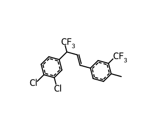 Cc1ccc(/C=C/C(c2ccc(Cl)c(Cl)c2)C(F)(F)F)cc1C(F)(F)F